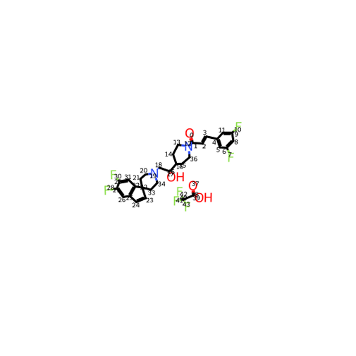 O=C(/C=C/c1cc(F)cc(F)c1)N1CCC(C(O)CN2CCC3(C=Cc4cc(F)c(F)cc43)CC2)CC1.O=C(O)C(F)(F)F